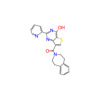 O=C(c1csc2c(O)nc(-c3ccccn3)nc12)N1CCc2ccccc2CC1